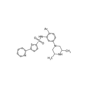 CC(=O)c1ccc(N2CC(C)NC(C)C2)cc1NS(=O)(=O)c1ccc(-c2ccccn2)s1